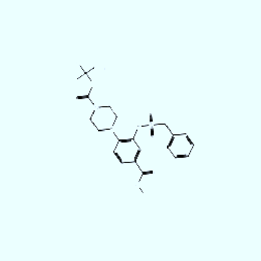 COC(=O)c1ccc(N2CCN(C(=O)OC(C)(C)C)CC2)c(NS(=O)(=O)Cc2ccccc2)c1